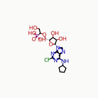 O=P(O)(O)C(CO)OC[C@H]1O[C@@H](n2cnc3c(NC4CCCC4)nc(Cl)nc32)[C@H](O)[C@@H]1O